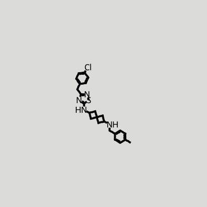 Cc1ccc(CNC2CC3(C2)CC(Nc2nc(Cc4ccc(Cl)cc4)ns2)C3)cc1